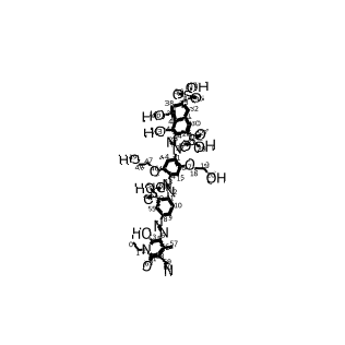 CCn1c(O)c(/N=N/c2ccc(/N=N/c3cc(OCCO)c(/N=N/c4c(S(=O)(=O)O)cc5cc(S(=O)(=O)O)cc(O)c5c4O)cc3OCCO)c(S(=O)(=O)O)c2)c(C)c(C#N)c1=O